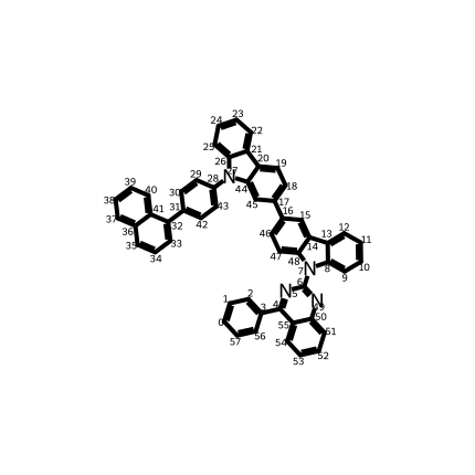 c1ccc(-c2nc(-n3c4ccccc4c4cc(-c5ccc6c7ccccc7n(-c7ccc(-c8cccc9ccccc89)cc7)c6c5)ccc43)nc3ccccc23)cc1